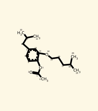 CC(=O)Oc1ccc(CC(C)C)cc1OCCCC(C)C